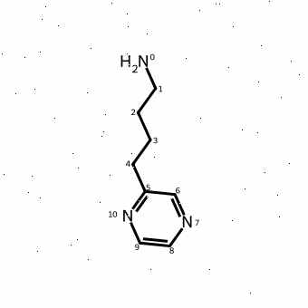 NCCCCc1cnccn1